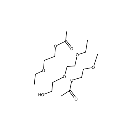 CCOCCOC(C)=O.CCOCCOCCO.COCCOC(C)=O